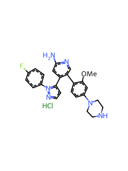 COc1cc(N2CCNCC2)ccc1-c1cnc(N)cc1-c1ccnn1-c1ccc(F)cc1.Cl